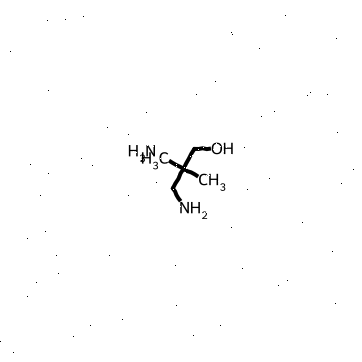 CC(C)(CN)CO.N